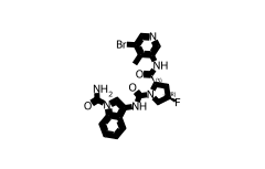 Cc1c(Br)cncc1NC(=O)[C@@H]1C[C@@H](F)CN1C(=O)Nc1cn(C(N)=O)c2ccccc12